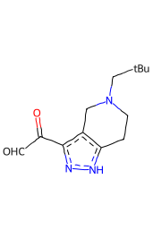 CC(C)(C)CN1CCc2[nH]nc(C(=O)C=O)c2C1